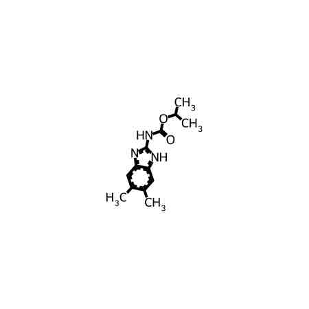 Cc1cc2nc(NC(=O)OC(C)C)[nH]c2cc1C